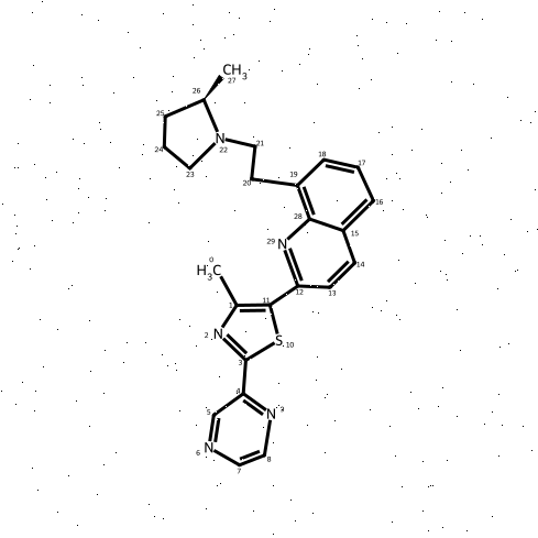 Cc1nc(-c2cnccn2)sc1-c1ccc2cccc(CCN3CCC[C@H]3C)c2n1